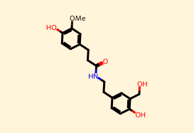 COc1cc(CCC(=O)NCCc2ccc(O)c(CO)c2)ccc1O